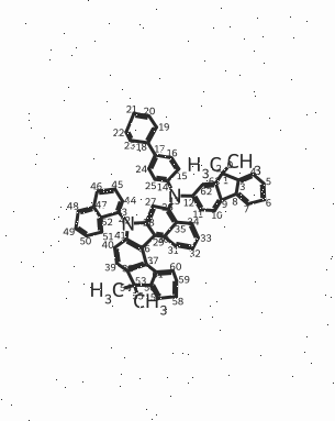 CC1(C)c2ccccc2-c2ccc(N(c3ccc(-c4ccccc4)cc3)c3cc4c(c5ccccc35)c3c5c(ccc3n4-c3cccc4ccccc34)C(C)(C)c3ccccc3-5)cc21